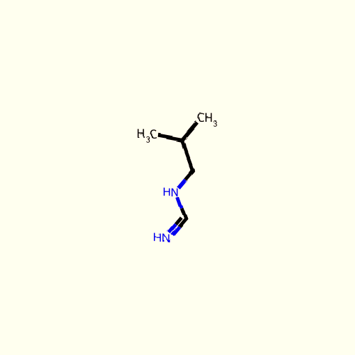 CC(C)CNC=N